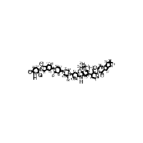 [2H]C([2H])([2H])n1cc(-c2ccnc(N3CCn4c(cc5c4CC(C)(C)C5)C3=O)c2CO)cc(Nc2ccc(N3CCN([C@@H]4CCN(c5ccc6c(c5)CN([C@H]5CCC(=O)NC5=O)C6=O)[C@@H](C)C4)C[C@@H]3C)cn2)c1=O